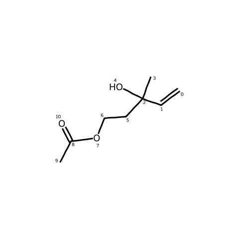 C=CC(C)(O)CCOC(C)=O